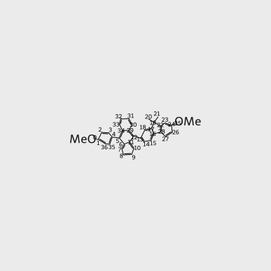 COc1ccc(-c2c3ccccc3c(-c3ccc4c(c3)C(C)(C)c3cc(OC)ccc3-4)c3ccccc23)cc1